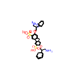 NCC(COc1cc2c(cc1S(=O)(=O)O)-c1cc(S(=O)(=O)O)c(OCC(CN)c3ccccc3)cc1C2)c1ccccc1